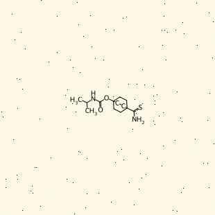 CC(C)NC(=O)OC12CCC(C(N)=S)(CC1)CC2